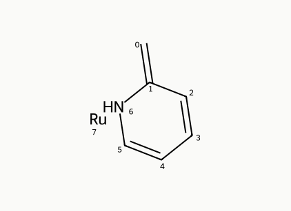 C=C1C=CC=CN1.[Ru]